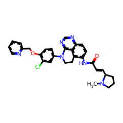 CN1CCCC1C=CC(=O)Nc1ccc2ncnc3c2c1CCN3c1ccc(OCc2ccccn2)c(Cl)c1